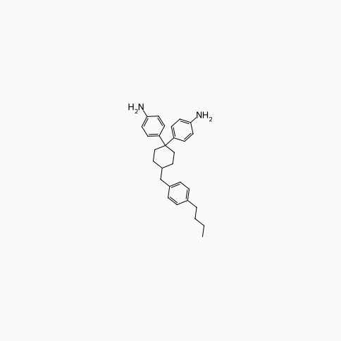 CCCCc1ccc(CC2CCC(c3ccc(N)cc3)(c3ccc(N)cc3)CC2)cc1